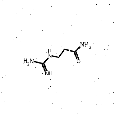 N=C(N)NCCC(N)=O